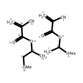 C=C(C#N)C(=O)OC(C)CCCCCC.C=C(C#N)C(=O)OC(C)COC